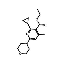 CCOC(=O)c1c(C)cc(N2CCOCC2)nc1C1CC1